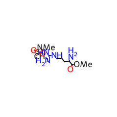 CNS(C)(=O)=O.COC(=O)C(N)CCCNC(=N)N